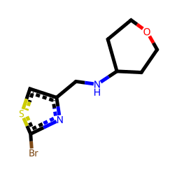 Brc1nc(CNC2CCOCC2)cs1